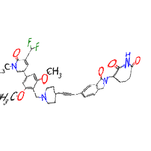 COc1cc(-c2cc(C(F)F)c(=O)n(C)c2)cc(OC)c1CN1CCC(C#Cc2ccc3c(c2)C(=O)N(C2CCC(=O)NC2=O)C3)CC1